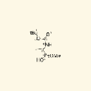 COP(O)C(C)NC(=O)OC(C)(C)C